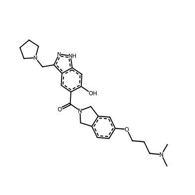 CN(C)CCCOc1ccc2c(c1)CN(C(=O)c1cc3c(CN4CCCC4)n[nH]c3cc1O)C2